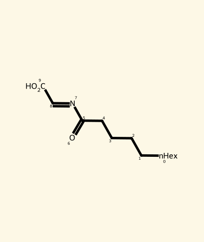 CCCCCCCCCCC(=O)N=CC(=O)O